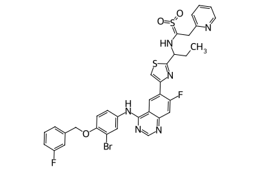 CCC(NC(Cc1ccccn1)=S(=O)=O)c1nc(-c2cc3c(Nc4ccc(OCc5cccc(F)c5)c(Br)c4)ncnc3cc2F)cs1